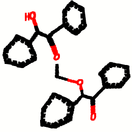 CCOC(C(=O)c1ccccc1)c1ccccc1.O=C(c1ccccc1)C(O)c1ccccc1